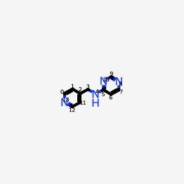 c1cc(CNc2ccncn2)ccn1